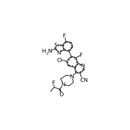 CC(F)C(=O)N1CCN(c2c(C#N)cnc3c(F)c(-c4ccc(F)c5sc(N)nc45)c(Cl)cc23)CC1